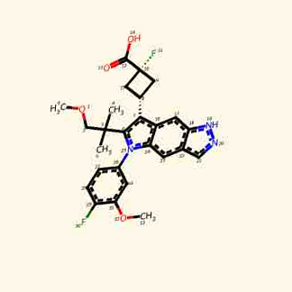 COCC(C)(C)c1c([C@H]2C[C@](F)(C(=O)O)C2)c2cc3[nH]ncc3cc2n1-c1ccc(F)c(OC)c1